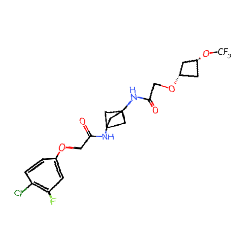 O=C(COc1ccc(Cl)c(F)c1)NC12CC(NC(=O)CO[C@H]3C[C@@H](OC(F)(F)F)C3)(C1)C2